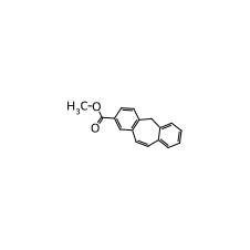 COC(=O)c1ccc2c(c1)C=Cc1ccccc1C2